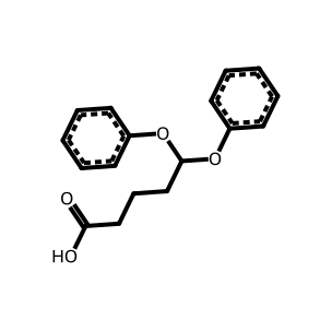 O=C(O)CCCC(Oc1ccccc1)Oc1ccccc1